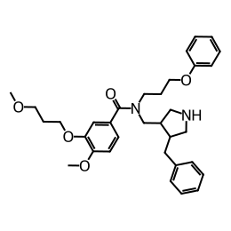 COCCCOc1cc(C(=O)N(CCCOc2ccccc2)CC2CNCC2Cc2ccccc2)ccc1OC